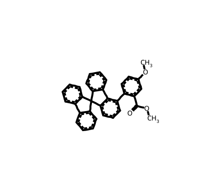 COC(=O)c1cc(OC)ccc1-c1cccc2c1-c1ccccc1C21c2ccccc2-c2ccccc21